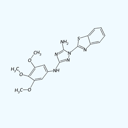 COc1cc(Nc2nc(N)n(-c3nc4ccccc4s3)n2)cc(OC)c1OC